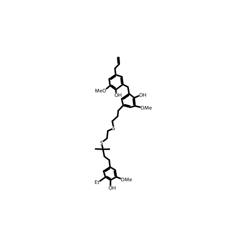 C=CCc1cc(Cc2cc(CCCSCCSC(C)(C)CCc3cc(CC)c(O)c(OC)c3)cc(OC)c2O)c(O)c(OC)c1